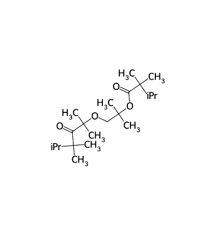 CC(C)C(C)(C)C(=O)OC(C)(C)COC(C)(C)C(=O)C(C)(C)C(C)C